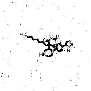 CCCCCCCCC1(C2CNCCN2c2ccc(-c3cnn[nH]3)cc2)C(=O)NC(=O)NC1=O